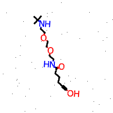 CC(C)(C)NCCOCCOCCNC(=O)CCCC#CO